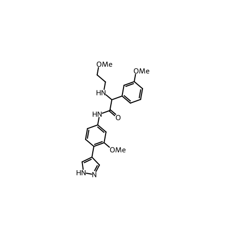 COCCNC(C(=O)Nc1ccc(-c2cn[nH]c2)c(OC)c1)c1cccc(OC)c1